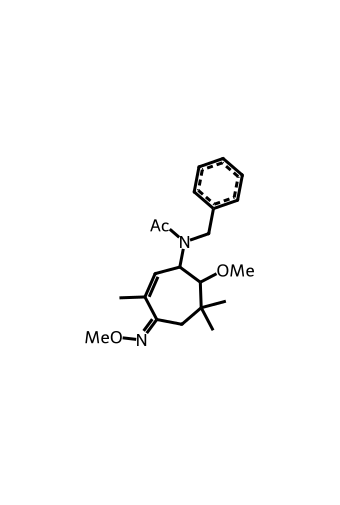 CON=C1CC(C)(C)C(OC)C(N(Cc2ccccc2)C(C)=O)C=C1C